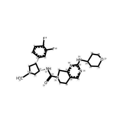 CN1C[C@H](c2ccc(F)c(F)c2)[C@H](NC(=O)N2CCc3cnc(NC4CCOCC4)nc3C2)C1